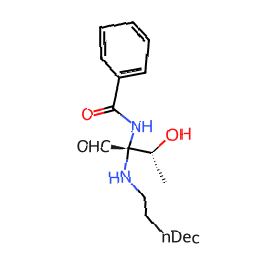 CCCCCCCCCCCCN[C@](C=O)(NC(=O)c1ccccc1)[C@@H](C)O